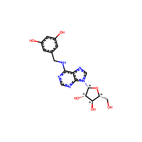 OC[C@H]1O[C@@H](n2cnc3c(NCc4cc(O)cc(O)c4)ncnc32)[C@@H](O)[C@@H]1O